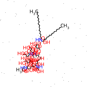 CCCCCCCCCCCCC/C=C/[C@@H](O)[C@H](CO[C@@H]1OC(CO)[C@@H](O[C@@H]2OC(CO)[C@H](O[C@@H]3OC(CO)[C@H](O)[C@H](O[C@@H]4OC(CO)[C@H](O[C@@H]5OC(CO)[C@H](O)[C@H](O)C5NC(C)=O)[C@H](O[C@]5(C(=O)O)CC(O)[C@@H](NC(=O)CO)C([C@H](O)[C@H](O)CO)O5)C4O)C3NC(C)=O)[C@H](O)C2O)[C@H](O)C1O)NC(=O)CCCCCCCCCCCCCCCCC